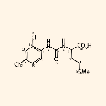 CSCCC(NC(=O)Nc1ccc(Cl)cc1Cl)C(=O)O